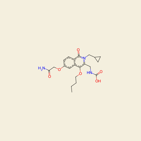 CCCCOc1c(CNC(=O)O)n(CC2CC2)c(=O)c2ccc(OCC(N)=O)cc12